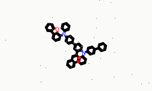 c1ccc(-c2ccc(N(c3ccccc3)c3ccc(-c4ccc(N(c5ccccc5)c5cccc6c5oc5ccccc56)cc4)cc3-c3ccc4ccccc4c3)cc2)cc1